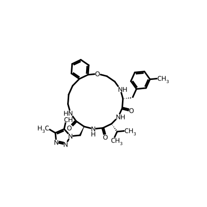 Cc1cccc(C[C@H]2NCCOc3ccccc3CCCNC(=O)[C@H](Cn3nnc(C)c3C)NC(=O)[C@@H](C(C)C)NC2=O)c1